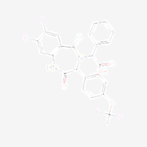 O=C(O)C(c1ccccc1)N1C(=O)c2cc(F)c(F)cc2NC(=O)C1c1ccc(OC(F)(F)F)cc1